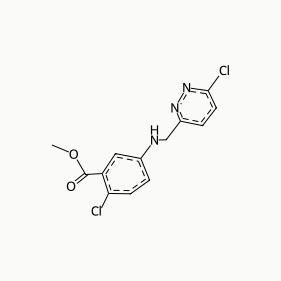 COC(=O)c1cc(NCc2ccc(Cl)nn2)ccc1Cl